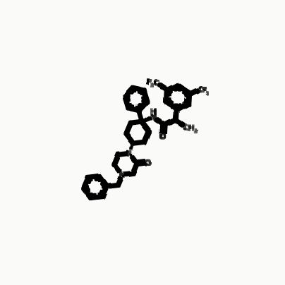 CC(C(=O)N[C@]1(c2ccccc2)CC[C@@H](N2CCN(Cc3ccccc3)CC2=O)CC1)c1cc(C(F)(F)F)cc(C(F)(F)F)c1